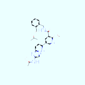 COc1ncc(-c2ccc3nc(NC(C)=O)cn3n2)cc1C(=O)NCc1ccccc1COC(C)C